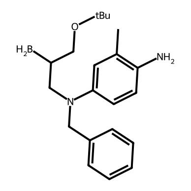 BC(COC(C)(C)C)CN(Cc1ccccc1)c1ccc(N)c(C)c1